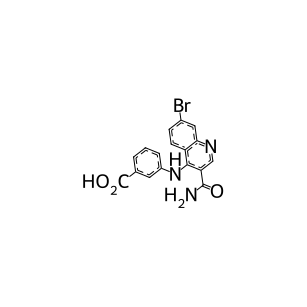 NC(=O)c1cnc2cc(Br)ccc2c1Nc1cccc(C(=O)O)c1